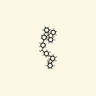 CC(c1ccc(-c2ccc3c(c2)C2(c4ccccc4-c4ccccc42)c2ccccc2-3)cc1)c1ccc(-c2cccc3c2oc2ccccc23)cc1